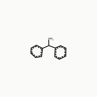 [InH2][CH](c1ccccc1)c1ccccc1